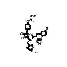 COC(=O)Nc1ccc(-c2nc([C@H](Cc3ccc(OC)nc3)NC(=O)C=Cc3cc(Cl)ccc3-n3cnnn3)[nH]c2Cl)cc1